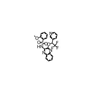 COc1ccccc1S(=O)(=O)Nc1nc2ccccc2nc1OC(c1cccnc1)C(F)(F)F